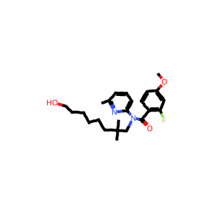 COc1ccc(C(=O)N(CC(C)(C)CCCCCCO)c2cccc(C)n2)c(F)c1